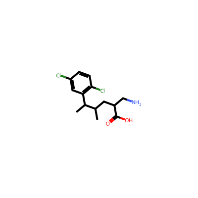 CC(CC(CN)C(=O)O)C(C)c1cc(Cl)ccc1Cl